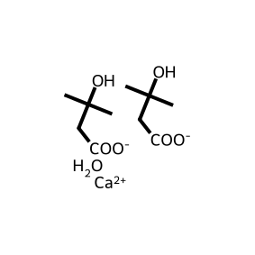 CC(C)(O)CC(=O)[O-].CC(C)(O)CC(=O)[O-].O.[Ca+2]